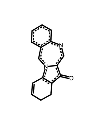 O=c1c2cnc3ccccc3cn-2c2c1CCC=C2